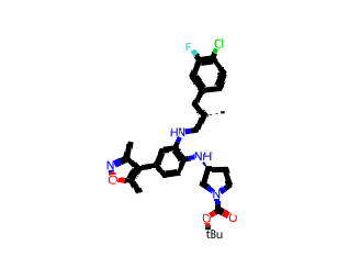 Cc1noc(C)c1-c1ccc(N[C@@H]2CCN(C(=O)OC(C)(C)C)C2)c(NC[C@@H](C)Cc2ccc(Cl)c(F)c2)c1